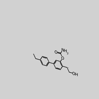 CCc1ccc(-c2ccc([CH]CO)c(OC(N)=O)c2)cc1